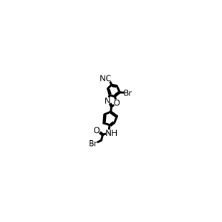 N#Cc1cc(Br)c2oc(-c3ccc(NC(=O)CBr)cc3)nc2c1